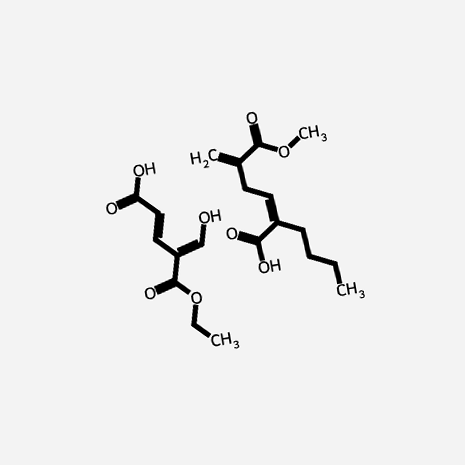 C=C(CC=C(CCCC)C(=O)O)C(=O)OC.CCOC(=O)C(C=CC(=O)O)=CO